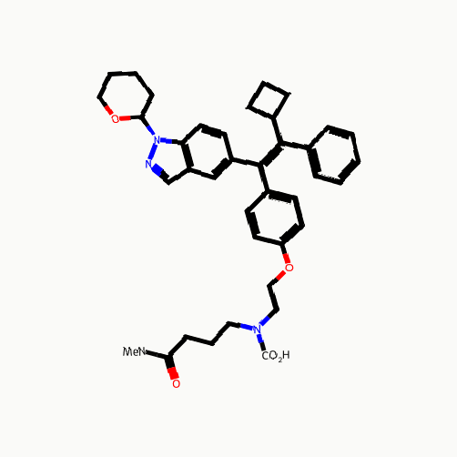 CNC(=O)CCCN(CCOc1ccc(C(=C(c2ccccc2)C2CCC2)c2ccc3c(cnn3C3CCCCO3)c2)cc1)C(=O)O